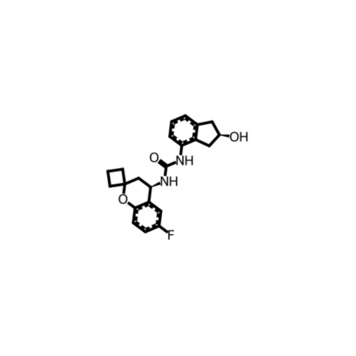 O=C(Nc1cccc2c1C[C@H](O)C2)N[C@@H]1CC2(CCC2)Oc2ccc(F)cc21